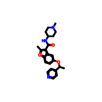 Cc1oc2ccc(OC(C)c3ccncc3)cc2c1C(=O)NC1CCN(C)CC1